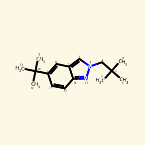 CC(C)(C)Cn1cc2cc(C(C)(C)C)ccc2n1